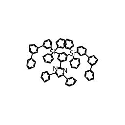 c1ccc(-c2cccc(-c3cccc([Si](c4ccccc4)(c4ccccc4)c4cc(-c5nc(-c6ccccc6)cc(-c6ccccc6)n5)cc([Si](c5ccccc5)(c5ccccc5)c5cccc(-c6cccc(-c7ccccc7)c6)c5)c4)c3)c2)cc1